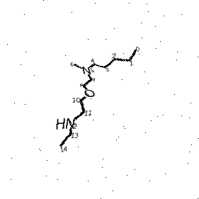 CCCCCN(C)CCOCCNCC